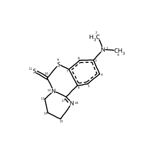 CN(C)c1ccc2c(c1)SC(=S)N1CCCN=C21